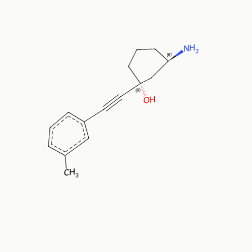 Cc1cccc(C#C[C@@]2(O)CCC[C@@H](N)C2)c1